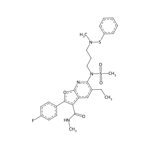 CCc1cc2c(C(=O)NC)c(-c3ccc(F)cc3)oc2nc1N(CCCN(C)Sc1ccccc1)S(C)(=O)=O